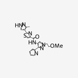 COCCn1cc(NC(=O)c2csc(-c3c[nH]nc3C)n2)c(-c2ccccn2)n1